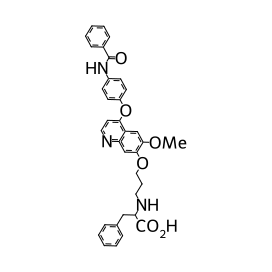 COc1cc2c(Oc3ccc(NC(=O)c4ccccc4)cc3)ccnc2cc1OCCCNC(Cc1ccccc1)C(=O)O